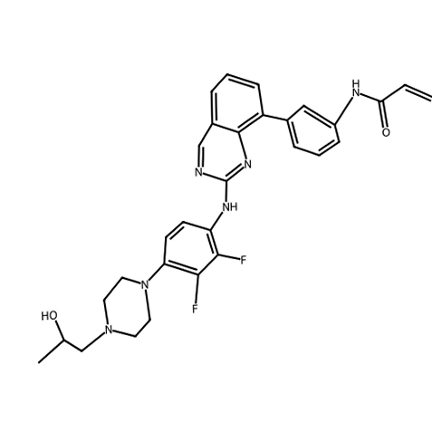 C=CC(=O)Nc1cccc(-c2cccc3cnc(Nc4ccc(N5CCN(CC(C)O)CC5)c(F)c4F)nc23)c1